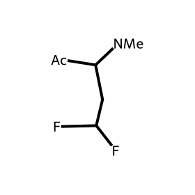 CNC(CC(F)F)C(C)=O